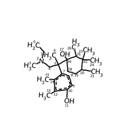 CCN(C)CC(C)(c1ccc(O)c(C)c1C)C1(O)CCC(C)C(C)(C)C1C